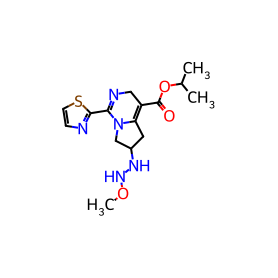 CONNC1CC2=C(C(=O)OC(C)C)CN=C(c3nccs3)N2C1